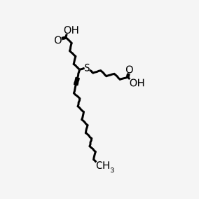 CCCCCCCCCCCCC#CC(CCCCC(=O)O)SCCCCCC(=O)O